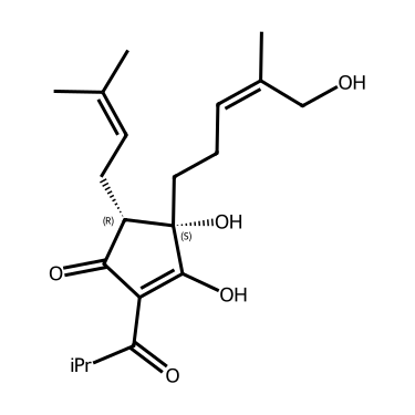 CC(C)=CC[C@H]1C(=O)C(C(=O)C(C)C)=C(O)[C@]1(O)CCC=C(C)CO